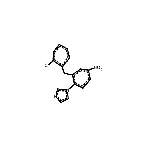 O=[N+]([O-])c1ccc(-n2ccnc2)c(Cc2ccccc2Cl)c1